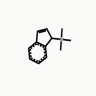 C[N+](C)(C)C1C=Cc2ccccc21